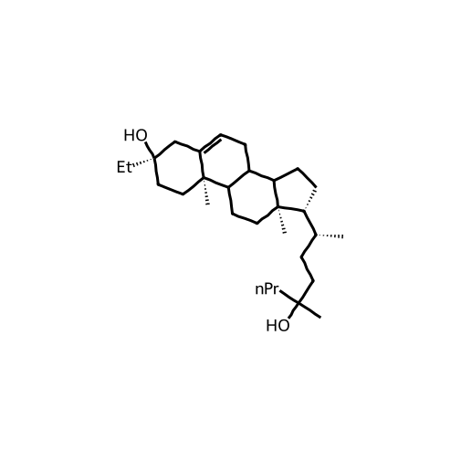 CCCC(C)(O)CC[C@@H](C)[C@H]1CCC2C3CC=C4C[C@@](O)(CC)CC[C@]4(C)C3CC[C@@]21C